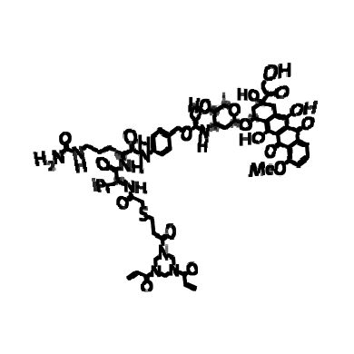 C=CC(=O)N1CN(C(=O)C=C)CN(C(=O)CCSCC(=O)N[C@H](C(=O)N[C@@H](CCCNC(N)=O)C(=O)Nc2ccc(COC(=O)N[C@H]3C[C@H](O[C@H]4C[C@](O)(C(=O)CO)Cc5c(O)c6c(c(O)c54)C(=O)c4c(OC)cccc4C6=O)O[C@@H](C)[C@@H]3O)cc2)C(C)C)C1